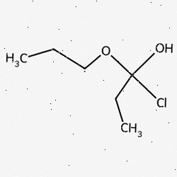 CC[CH]OC(O)(Cl)CC